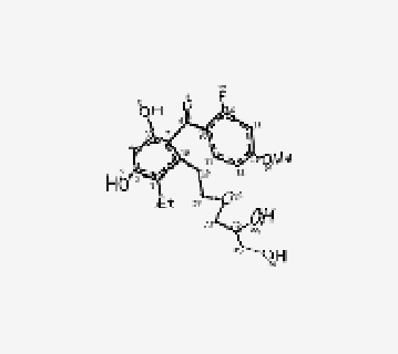 CCc1c(O)cc(O)c(C(=O)c2ccc(OC)cc2F)c1CCOCC(O)CO